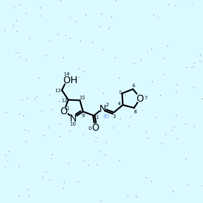 O=C(/N=C/C1CCOC1)C1=NOC(CO)C1